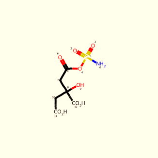 NS(=O)(=O)OC(=O)CC(O)(CC(=O)O)C(=O)O